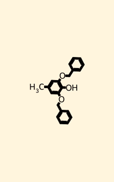 Cc1cc(OCc2ccccc2)c(O)c(OCc2ccccc2)c1